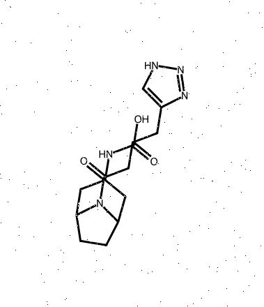 O=C(O)NC1CC2CCC(C1)N2C(=O)CCCc1c[nH]nn1